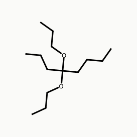 CCCCC(CCC)(OCCC)OCCC